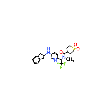 CN(C(=O)C1CCS(=O)(=O)CC1)C(c1ccc(NC2Cc3ccccc3C2)cn1)C(F)(F)F